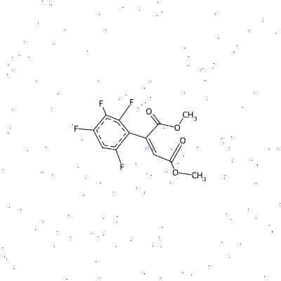 COC(=O)/C=C(\C(=O)OC)c1c(F)cc(F)c(F)c1F